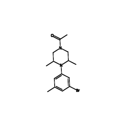 CC(=O)N1CC(C)N(c2cc(C)cc(Br)c2)C(C)C1